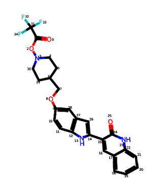 O=C(ON1CCC(COc2ccc3[nH]c(-c4cc5ccccc5[nH]c4=O)cc3c2)CC1)C(F)(F)F